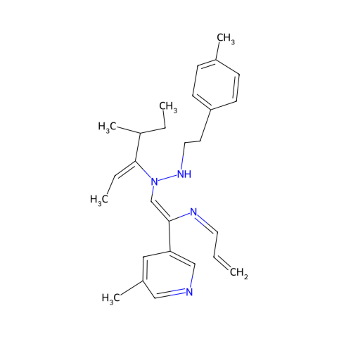 C=C/C=N\C(=C/N(NCCc1ccc(C)cc1)/C(=C\C)C(C)CC)c1cncc(C)c1